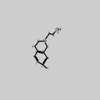 Cc1ccc2c(c1)CN(CCO)CC2